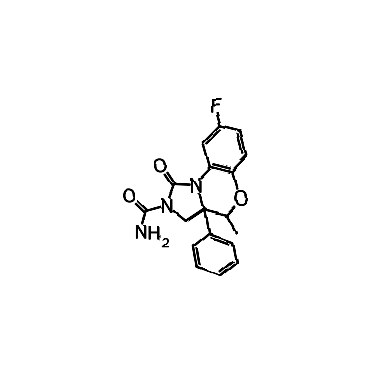 CC1Oc2ccc(F)cc2N2C(=O)N(C(N)=O)CC12c1ccccc1